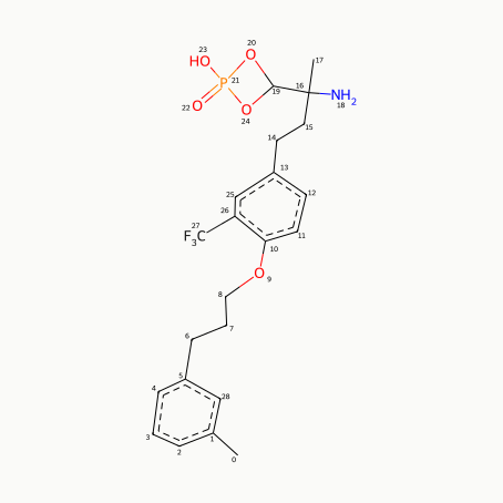 Cc1cccc(CCCOc2ccc(CCC(C)(N)C3OP(=O)(O)O3)cc2C(F)(F)F)c1